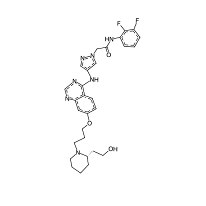 O=C(Cn1cc(Nc2ncnc3cc(OCCCN4CCCC[C@H]4CCO)ccc23)cn1)Nc1cccc(F)c1F